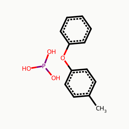 Cc1ccc(Oc2ccccc2)cc1.OP(O)O